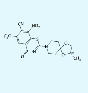 C[C@H]1COC2(CCN(c3nc(=O)c4cc(C(F)(F)F)c(C#N)c([N+](=O)[O-])c4s3)CC2)O1